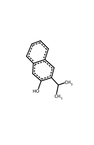 CC(C)c1cc2ccccc2cc1O